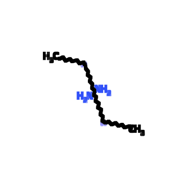 CCCCCCCC/C=C\CCCCCCCC(N)C(N)CCCCCCC/C=C\CCCCCCCC